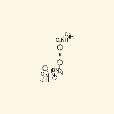 O=C(NC[C@@H]1CCCN1)c1ccc(C#Cc2ccc(-c3cnc([C@@H]4CCCN4C(=O)[C@H](NC(=O)C4CC4)c4ccccc4)[nH]3)cc2)cc1